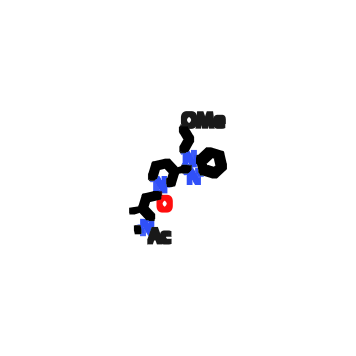 COCCCn1c([C@@H]2CCCN(C(=O)C[C@H](C)CN(C)C(C)=O)C2)nc2ccccc21